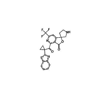 O=C1OC2(CCNC2)c2cc(C(F)(F)F)nc(C(=O)C3(c4nc5ccccc5s4)CC3)c21